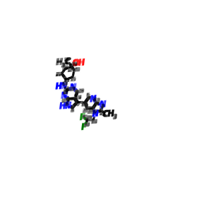 Cc1nc2ncc(-c3c[nH]c4nc(N[C@H]5CC[C@@](C)(O)CC5)ncc34)cc2n1CC(F)F